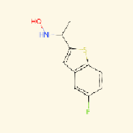 CC(NO)c1cc2cc(F)ccc2s1